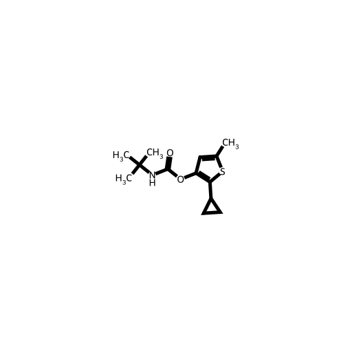 Cc1cc(OC(=O)NC(C)(C)C)c(C2CC2)s1